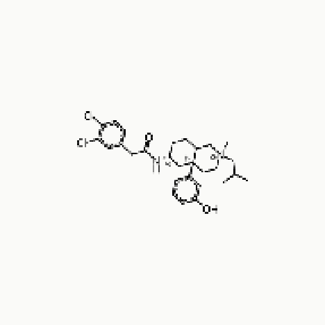 CC(C)C[N@+]1(C)CC[C@]2(c3cccc(O)c3)C[C@H](NC(=O)Cc3ccc(Cl)c(Cl)c3)CCC2C1